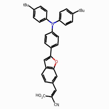 CC(C)(C)c1ccc(N(c2ccc(-c3cc4ccc(C=C(C#N)C(=O)O)cc4o3)cc2)c2ccc(C(C)(C)C)cc2)cc1